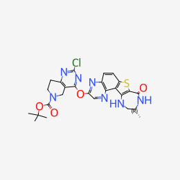 C[C@@H]1CNc2c(sc3ccc4nc(Oc5nc(Cl)nc6c5CN(C(=O)OC(C)(C)C)CC6)cnc4c23)C(=O)N1